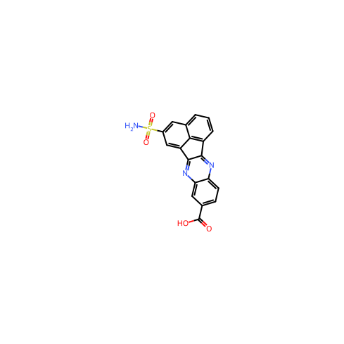 NS(=O)(=O)c1cc2c3c(cccc3c1)-c1nc3ccc(C(=O)O)cc3nc1-2